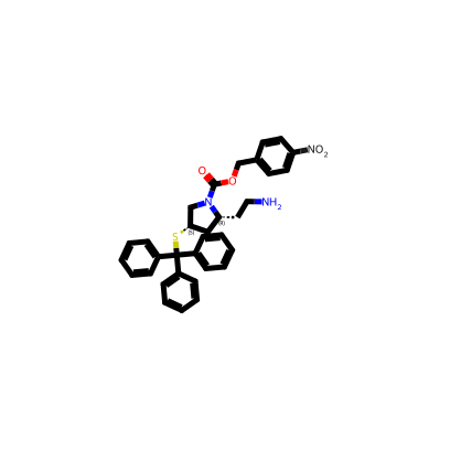 NCC[C@@H]1C[C@H](SC(c2ccccc2)(c2ccccc2)c2ccccc2)CN1C(=O)OCc1ccc([N+](=O)[O-])cc1